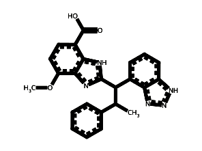 COc1ccc(C(=O)O)c2[nH]c(C(c3cccc4[nH]nnc34)C(C)c3ccccc3)nc12